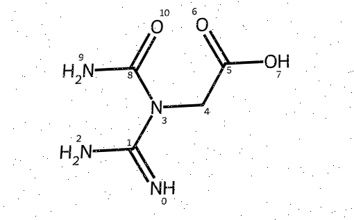 N=C(N)N(CC(=O)O)C(N)=O